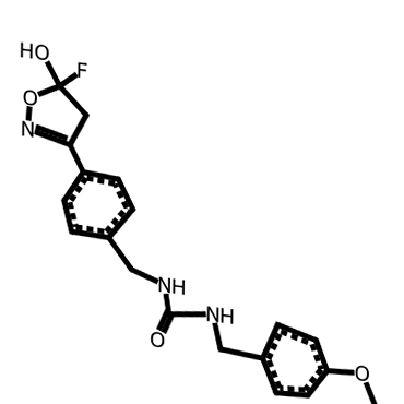 COc1ccc(CNC(=O)NCc2ccc(C3=NOC(O)(F)C3)cc2)cc1